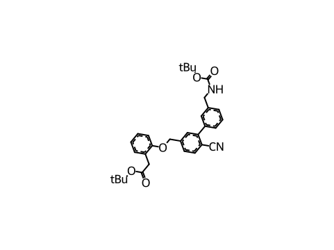 CC(C)(C)OC(=O)Cc1ccccc1OCc1ccc(C#N)c(-c2cccc(CNC(=O)OC(C)(C)C)c2)c1